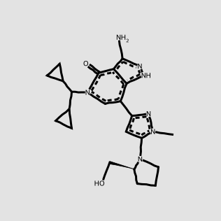 Cn1nc(-c2cn(C(C3CC3)C3CC3)c(=O)c3c(N)n[nH]c23)cc1N1CCC[C@H]1CO